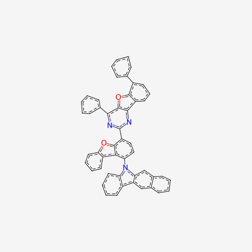 c1ccc(-c2cccc3c2oc2c(-c4ccccc4)nc(-c4ccc(-n5c6ccccc6c6cc7ccccc7cc65)c5c4oc4ccccc45)nc23)cc1